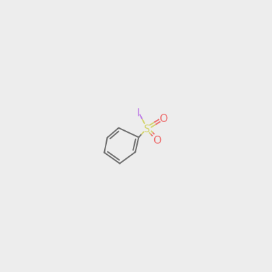 O=S(=O)(I)c1ccccc1